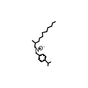 CCCCCCCCCC(C)C=[N+]([O-])Cc1ccc(C(C)C)cc1